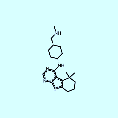 CNC[C@H]1CC[C@H](Nc2ncnc3sc4c(c23)C(C)(C)CCC4)CC1